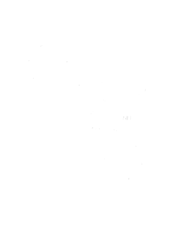 CCOC(=O)C(NC(=O)c1ccccc1)C(=O)COCc1ccccc1